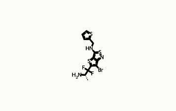 C[C@H](N)C(F)(F)c1sc2c(NCc3cccs3)snc2c1Br